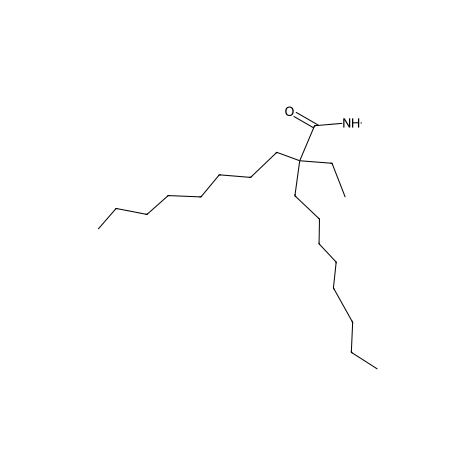 CCCCCCCCC(CC)(CCCCCCCC)C([NH])=O